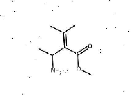 COC(=O)C(=C(C)C)C(C)N